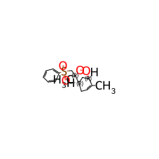 CC1=CC[C@@H]2C[C@H]1OO[C@@]2(C)CS(=O)(=O)c1ccccc1